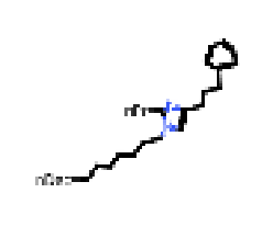 CCCCCCCCCCCCCCCCCn1cc(CCCc2ccccc2)nc1CCC